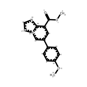 COC(=O)c1cc(-c2ccc(OC)cc2)cn2ncnc12